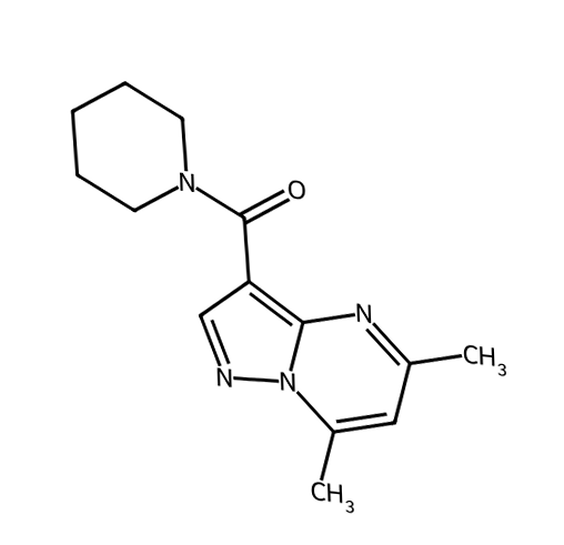 Cc1cc(C)n2ncc(C(=O)N3CCCCC3)c2n1